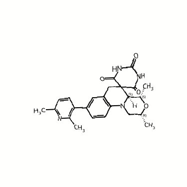 Cc1ccc(-c2ccc3c(c2)CC2(C(=O)NC(=O)NC2=O)[C@H]2[C@H](C)O[C@H](C)CN32)c(C)n1